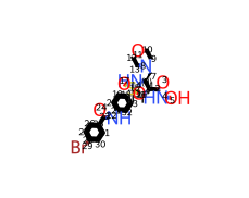 CC(C)C(C(=O)NO)[C@H](CN1CCOCC1)NS(=O)(=O)c1ccc(NC(=O)c2ccc(Br)cc2)cc1